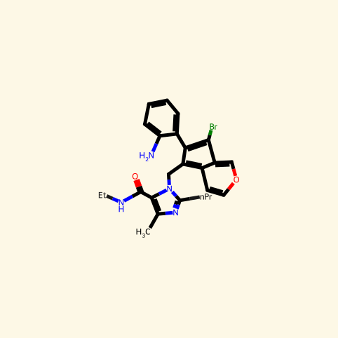 CCCc1nc(C)c(C(=O)NCC)n1Cc1c2ccocc-2c(Br)c1-c1ccccc1N